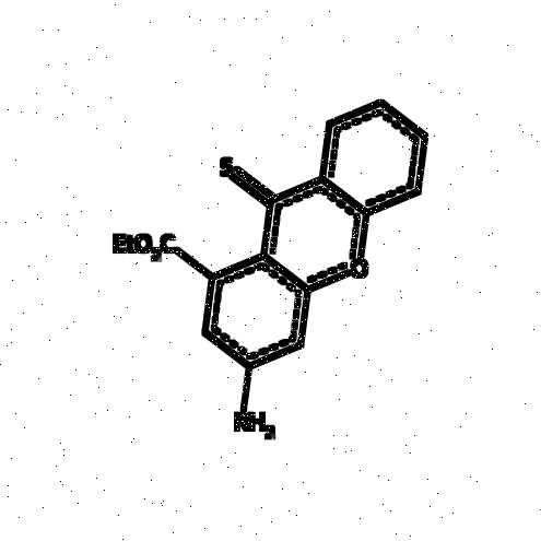 CCOC(=O)c1cc(N)cc2oc3ccccc3c(=S)c12